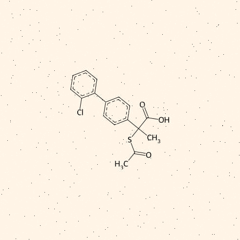 CC(=O)SC(C)(C(=O)O)c1ccc(-c2ccccc2Cl)cc1